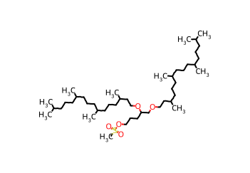 CC(C)CCCC(C)CCCC(C)CCCC(C)CCOCC(CCCOS(C)(=O)=O)OCCC(C)CCCC(C)CCCC(C)CCCC(C)C